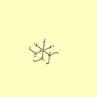 COS(F)(F)(F)(OC)N(C)C